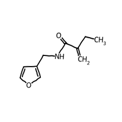 C=C(CC)C(=O)NCc1ccoc1